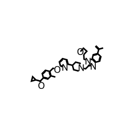 C=C(C)c1ccc2nc(CN3CCC(c4cccc(OCc5ccc(C(=O)C6CC6)cc5C)n4)CC3)n(CC3CCO3)c2c1